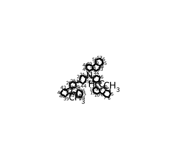 CC1(C)c2ccccc2-c2cccc(-c3cccc(N(c4ccc(-c5ccc6c(c5)C(C)(c5ccccc5)c5ccccc5-6)cc4)c4cccc5c4ccc4ccccc45)c3)c21